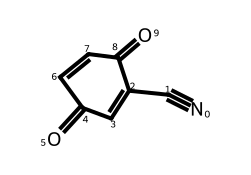 N#CC1=CC(=O)C=CC1=O